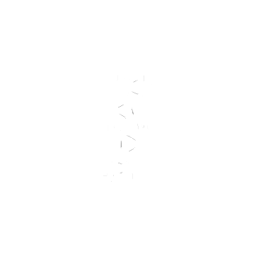 C=C(C)C(=O)Oc1ccc(C(c2ccc(OC(=O)C(=C)C)cc2)(C(C)(C)C)C(C)(C)C)cc1